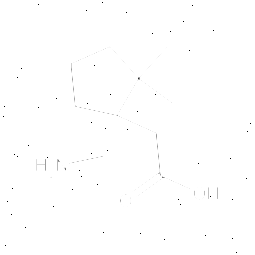 CC1(C)CCC[C@]1(CN)CC(=O)O